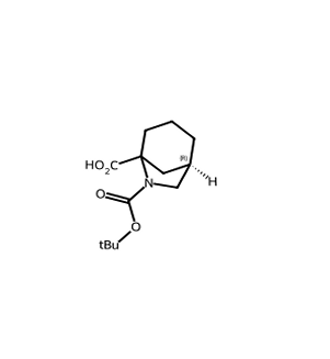 CC(C)(C)OC(=O)N1C[C@@H]2CCCC1(C(=O)O)C2